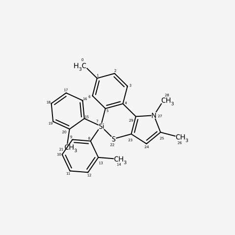 Cc1ccc2c(c1)[Si](c1ccccc1C)(c1ccccc1C)Sc1cc(C)n(C)c1-2